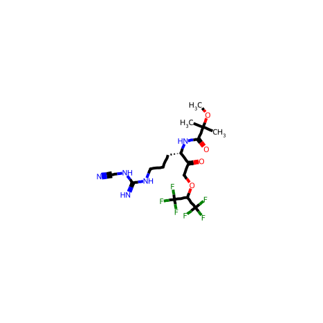 COC(C)(C)C(=O)N[C@@H](CCCNC(=N)NC#N)C(=O)COC(C(F)(F)F)C(F)(F)F